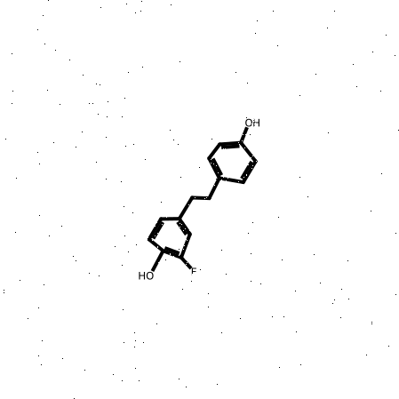 Oc1ccc(CCc2ccc(O)c(F)c2)cc1